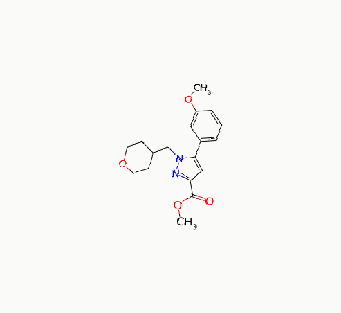 COC(=O)c1cc(-c2cccc(OC)c2)n(CC2CCOCC2)n1